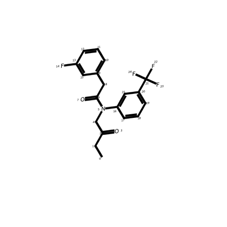 CCC(=O)CN(C(=O)Cc1cccc(F)c1)c1cccc(C(F)(F)F)c1